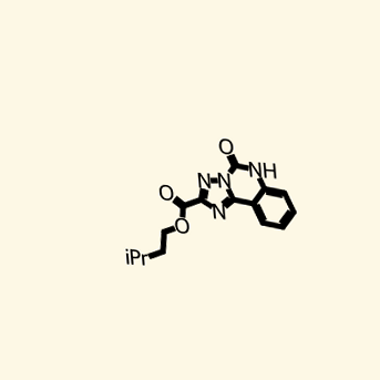 CC(C)CCOC(=O)c1nc2c3ccccc3[nH]c(=O)n2n1